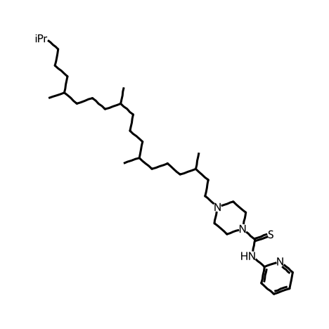 CC(C)CCCC(C)CCCC(C)CCCC(C)CCCC(C)CCN1CCN(C(=S)Nc2ccccn2)CC1